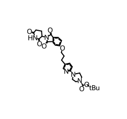 CC(C)(C)OC(=O)N1CCN(c2ccc(CCCOc3ccc4c(c3)C(=O)N(C3CCC(=O)NC3=O)C4=O)cn2)CC1